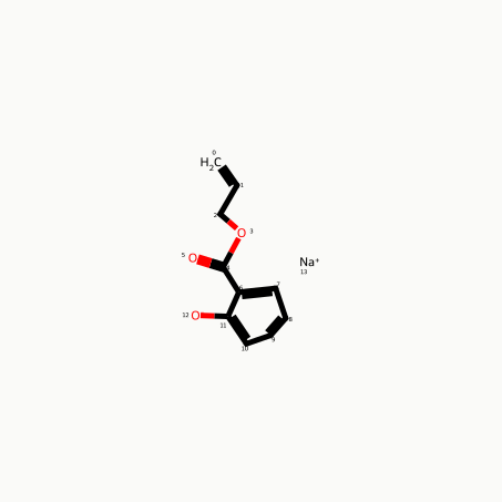 C=CCOC(=O)c1ccccc1[O-].[Na+]